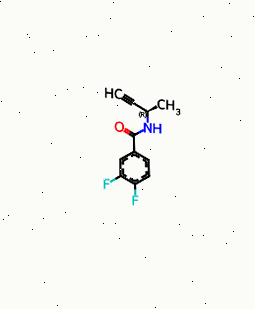 C#C[C@@H](C)NC(=O)c1ccc(F)c(F)c1